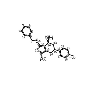 CC(=O)c1sc(SCc2ccccc2)c2c1CC(c1ccc(C)cc1)CC2=N